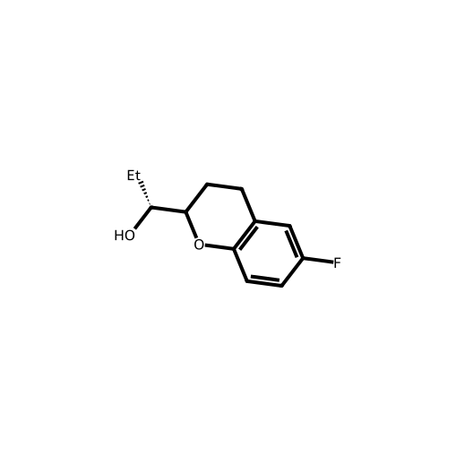 CC[C@@H](O)C1CCc2cc(F)ccc2O1